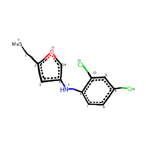 CSCc1cc(Nc2ccc(Cl)cc2Cl)[c]o1